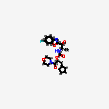 CC[C@H](NC(=O)O[C@@H](CC1CCCC1)C(=O)N1CCOCC1)C(=O)c1nc2ccc(F)cc2o1